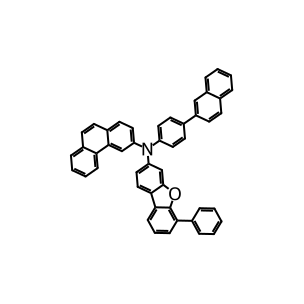 c1ccc(-c2cccc3c2oc2cc(N(c4ccc(-c5ccc6ccccc6c5)cc4)c4ccc5ccc6ccccc6c5c4)ccc23)cc1